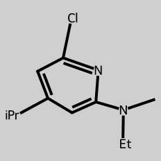 CCN(C)c1cc(C(C)C)cc(Cl)n1